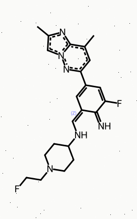 Cc1cn2nc(C3=C/C(=C/NC4CCN(CCF)CC4)C(=N)C(F)=C3)cc(C)c2n1